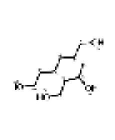 CC(O)CCO.OCCCCCCO